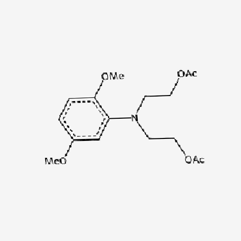 COc1ccc(OC)c(N(CCOC(C)=O)CCOC(C)=O)c1